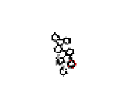 c1ccc(-c2cccc(-c3cccc4c5ccccc5c5ccccc5c34)c2-c2nnnc(-c3ccccn3)c2-c2ccccn2)cc1